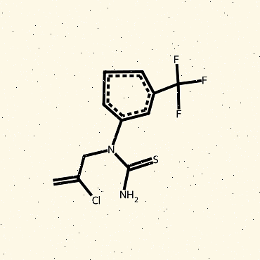 C=C(Cl)CN(C(N)=S)c1cccc(C(F)(F)F)c1